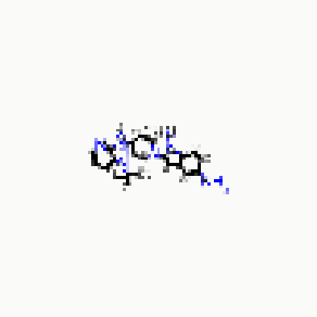 CCC(C)(C)Nc1cccnc1N(C)C1CCN(c2cc3cc(N)ccc3[nH]2)C(C=O)C1